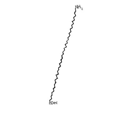 CCCCCCCCCCCCCCCCCCCCCCCCCCCCCCCCCCCCCCCCCCCCCCCCCCCCCCCCCN